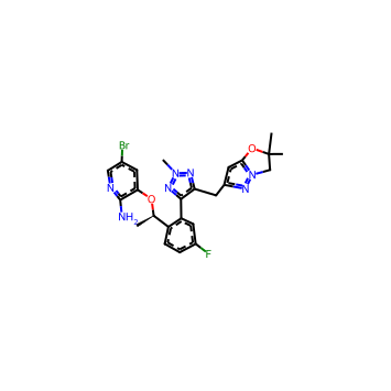 C[C@@H](Oc1cc(Br)cnc1N)c1ccc(F)cc1-c1nn(C)nc1Cc1cc2n(n1)CC(C)(C)O2